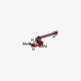 COc1ccc(C2=CN3C(=O)c4cc(OC)c(OCCCCCOc5cc6c(cc5OC)C(=O)N5CC7(CC7)C[C@H]5C(O)N6C(=O)OCc5ccc(NC(=O)C(C)NC(=O)[C@H](NC(=O)CCOCCOCCOCCOCCOCCOCCOCCOCCNC(=O)CCN6C(=O)C=CC6=O)C(C)C)cc5)cc4NC[C@H]3C2)cc1